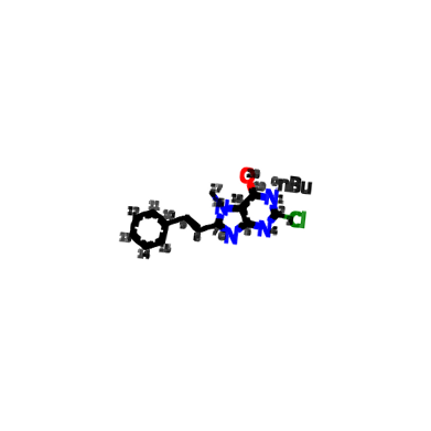 CCCCn1c(Cl)nc2nc(C=Cc3ccccc3)n(C)c2c1=O